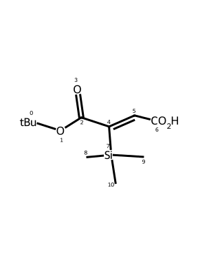 CC(C)(C)OC(=O)/C(=C/C(=O)O)[Si](C)(C)C